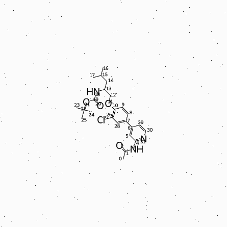 CC(=O)Nc1cc(-c2ccc(OCC(CC(C)C)NC(=O)OC(C)(C)C)c(Cl)c2)ccn1